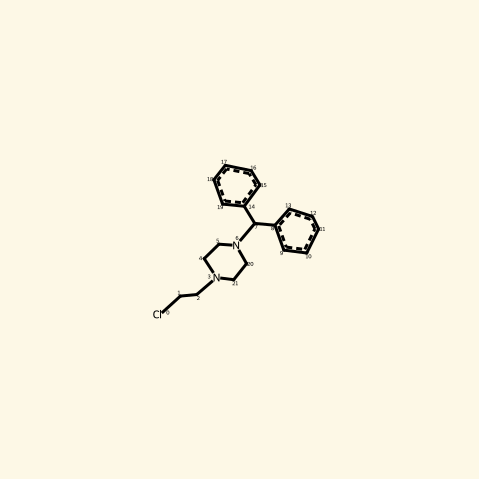 ClCCN1CCN(C(c2ccccc2)c2ccccc2)CC1